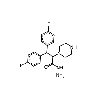 NNC(=O)C(C(c1ccc(F)cc1)c1ccc(F)cc1)N1CCNCC1